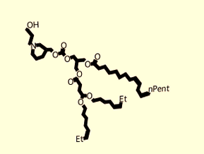 CC/C=C\CCCCOC(CCC(=O)OCC(COC(=O)CCCCCCC/C=C\C/C=C\CCCCC)COC(=O)OCC1CCCN(CCCO)C1)OCCCC/C=C\CC